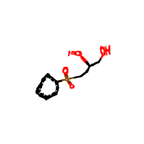 O=S(=O)(CC(O)CO)c1ccccc1